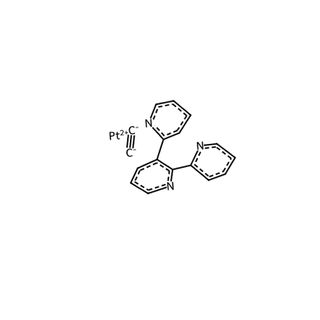 [C-]#[C-].[Pt+2].c1ccc(-c2cccnc2-c2ccccn2)nc1